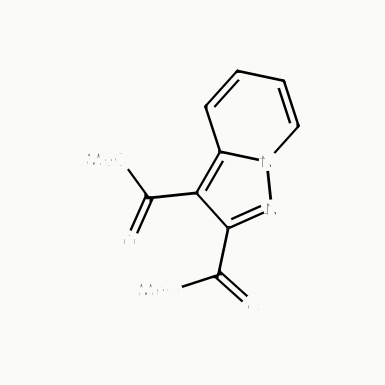 COC(=O)c1nn2ccccc2c1C(=O)OC